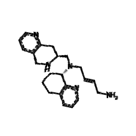 NC/C=C/CN(C[C@@H]1Cc2ncccc2CN1)[C@H]1CCCc2cccnc21